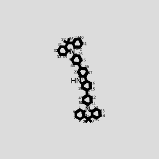 CC1(C)C2=C(C=CCC2)N(c2ccc(-c3ccc4c(c3)[nH]c3cc(-c5ccc(N6C7=C(CCC=C7)C(C)(C)c7ccccc76)cc5)ccc34)cc2)c2ccccc21